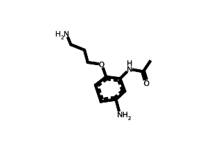 CC(=O)Nc1cc(N)ccc1OCCCN